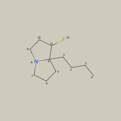 CCCCC12CCCN1CCC2F